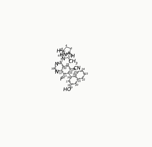 CC1[C@H]2CC[C@@H](CN1c1ncnc3c(F)c(-c4cc(O)cc5ccccc45)c(C#N)cc13)N2